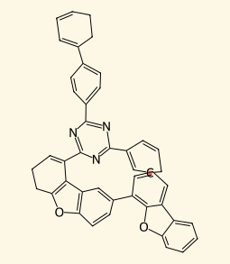 C1=CCCC(c2ccc(-c3nc(C4=CCCC=C4)nc(C4=CCCc5oc6ccc(-c7cccc8c7oc7ccccc78)cc6c54)n3)cc2)=C1